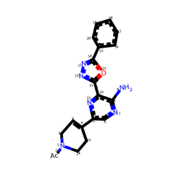 CC(=O)N1CC=C(c2cnc(N)c(-c3nnc(-c4ccccc4)o3)n2)CC1